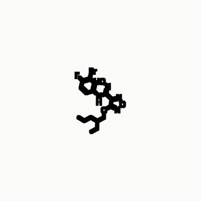 CCCC(CC)COc1nonc1/C(=N/O)Nc1ccc(F)c(Br)c1